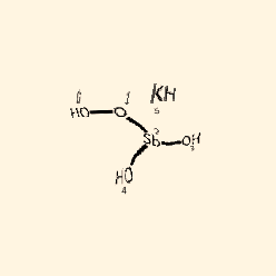 O[O][Sb]([OH])[OH].[KH]